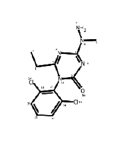 CCc1nc(N(C)N)nc(=O)n1-c1c(Cl)cccc1Cl